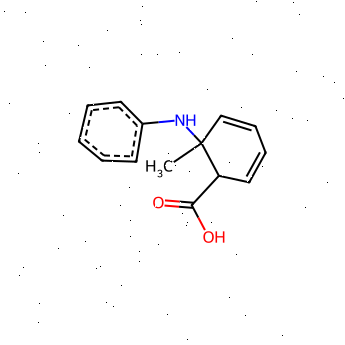 CC1(Nc2ccccc2)C=CC=CC1C(=O)O